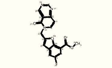 COC(=O)c1cc(F)cc2cc(Cn3ccc4ncncc4c3=O)oc12